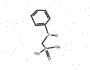 O=P(O)(O)C[S+]([O-])c1ccccc1